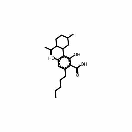 C=C(C)C1CCC(C)CC1c1c(O)cc(CCCCC)c(C(=O)O)c1O